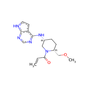 C=CC(=O)N1C[C@H](Nc2ncnc3[nH]ccc23)CC[C@@H]1COC